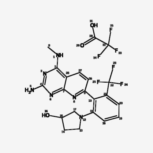 CNc1nc(N)nc2nc(-c3c(N4CCC(O)C4)cccc3C(F)(F)F)ccc12.O=C(O)C(F)(F)F